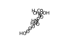 Cc1cccc2c(O)cc3c(c12)[C@H](CCl)CN3C(=O)c1ccc2[nH]c(C(=O)NCCOCCOCCOCCO)cc2c1